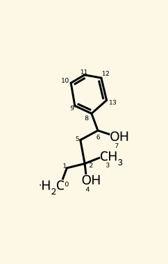 [CH2]CC(C)(O)CC(O)c1ccccc1